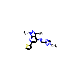 CC(C)c1nn(C)c2nc(-c3cccs3)cc(NCc3ncn(C)n3)c12